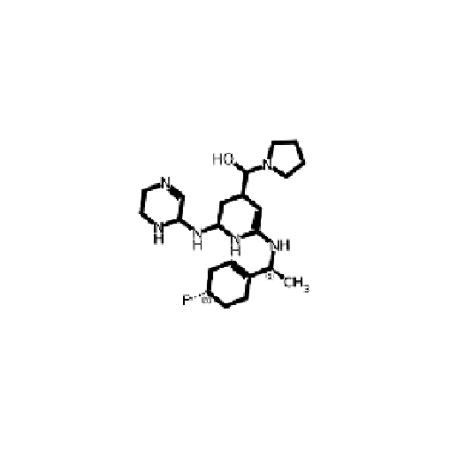 C[C@H](NC1=CC(C(O)N2CCCC2)CC(NC2C=NCCN2)N1)C1=CC[C@@H](F)CC1